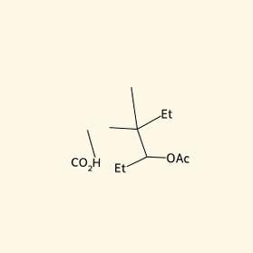 CC(=O)O.CCC(OC(C)=O)C(C)(C)CC